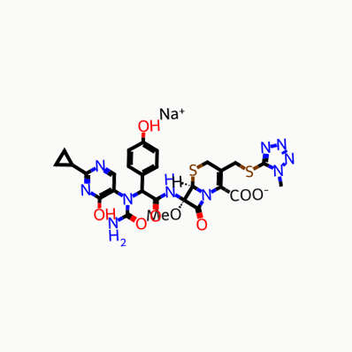 CO[C@@]1(NC(=O)C(c2ccc(O)cc2)N(C(N)=O)c2cnc(C3CC3)nc2O)C(=O)N2C(C(=O)[O-])=C(CSc3nnnn3C)CS[C@@H]21.[Na+]